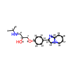 CC(C)NCC(O)COc1ccc(-c2cn3ccccc3n2)cc1